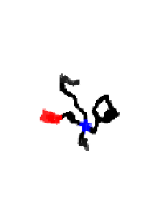 CCCCCCCCCCCCC[N+](C)(CCO)Cc1ccccc1